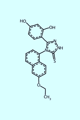 CCOc1ccc2c(-n3c(-c4ccc(O)cc4O)n[nH]c3=S)cccc2c1